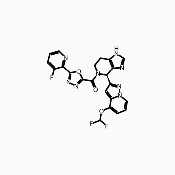 O=C(c1nnc(-c2ncccc2F)o1)N1CCc2[nH]cnc2[C@H]1c1cc2c(OC(F)F)cccn2n1